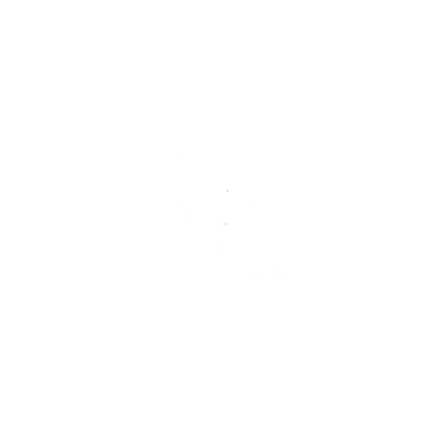 c1ccc(Cc2ccccc2-c2ccccc2-c2ccccc2Cc2ccccc2)cc1